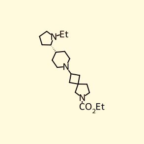 CCOC(=O)N1CCC2(CC(N3CCC([C@@H]4CCCN4CC)CC3)C2)C1